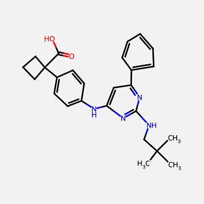 CC(C)(C)CNc1nc(Nc2ccc(C3(C(=O)O)CCC3)cc2)cc(-c2ccccc2)n1